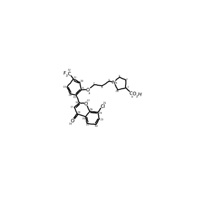 O=C(O)C1CCN(CCCOc2cc(C(F)(F)F)ccc2-c2cc(=O)c3cccc(Cl)c3o2)C1